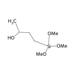 CO[Si](CCC(C)O)(OC)OC